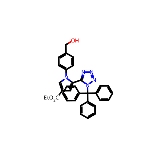 CCOC(=O)c1cc(-c2nnnn2C(c2ccccc2)(c2ccccc2)c2ccccc2)n(-c2ccc(CO)cc2)c1